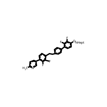 CCCCCCCOc1ccc(-c2ccc(CCc3ccc(-c4ccc(C)nc4)c(F)c3F)cc2)c(F)c1F